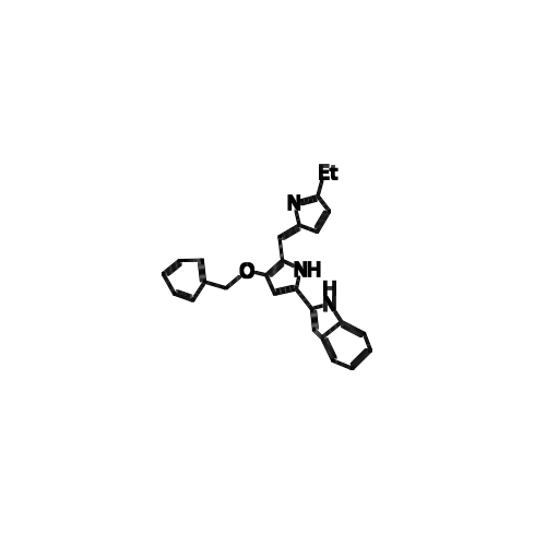 CCC1=NC(=Cc2[nH]c(-c3cc4ccccc4[nH]3)cc2OCc2ccccc2)C=C1